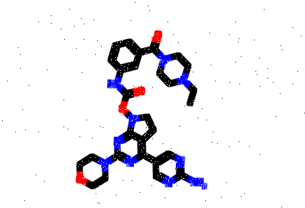 CCN1CCN(C(=O)c2cccc(NC(=O)ON3CCc4c(-c5cnc(N)nc5)nc(N5CCOCC5)nc43)c2)CC1